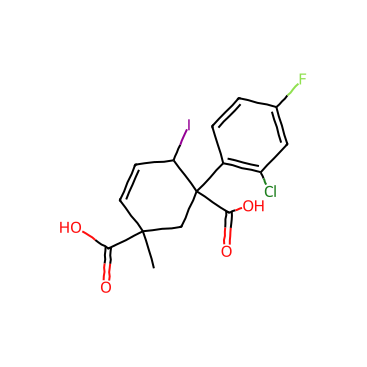 CC1(C(=O)O)C=CC(I)C(C(=O)O)(c2ccc(F)cc2Cl)C1